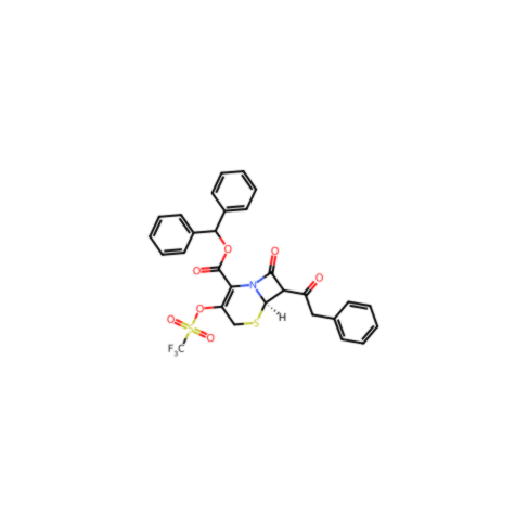 O=C(OC(c1ccccc1)c1ccccc1)C1=C(OS(=O)(=O)C(F)(F)F)CS[C@@H]2C(C(=O)Cc3ccccc3)C(=O)N12